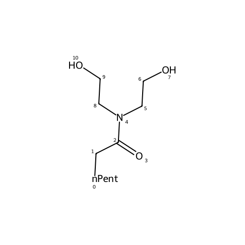 CCCCCCC(=O)N(CCO)CCO